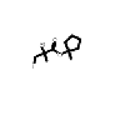 CCC(C)(CI)C(=O)OC1(C)CCCC1